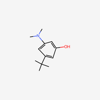 CN(C)c1cc(O)cc(C(C)(C)C)c1